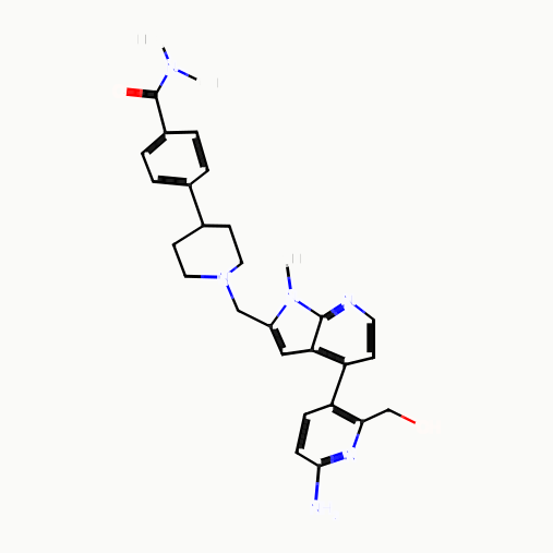 CN(C)C(=O)c1ccc(C2CCN(Cc3cc4c(-c5ccc(N)nc5CO)ccnc4n3C)CC2)cc1